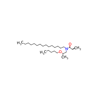 C=CC(=O)N(CCCCCCCCCCCCCCC)CC(C)OCCCCC